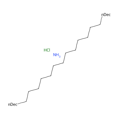 CCCCCCCCCCCCCCCCCCCCCCCCCCCCCCCCC.Cl.N